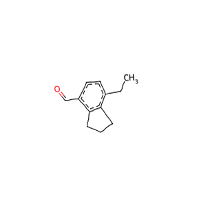 CCc1ccc(C=O)c2c1CCC2